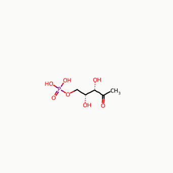 CC(=O)[C@@H](O)[C@H](O)COP(=O)(O)O